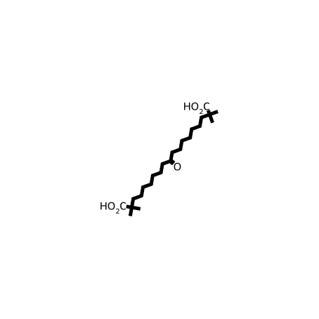 CC(C)(CCCCCCCC(=O)CCCCCCCC(C)(C)C(=O)O)C(=O)O